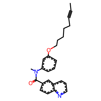 CC#CCCCCCOc1cccc(N(C)C(=O)c2ccc3ncccc3c2)c1